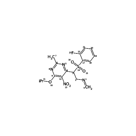 C=NCC(c1nc(C)nc(OC(C)C)c1[N+](=O)[O-])S(=O)(=O)c1ccccc1F